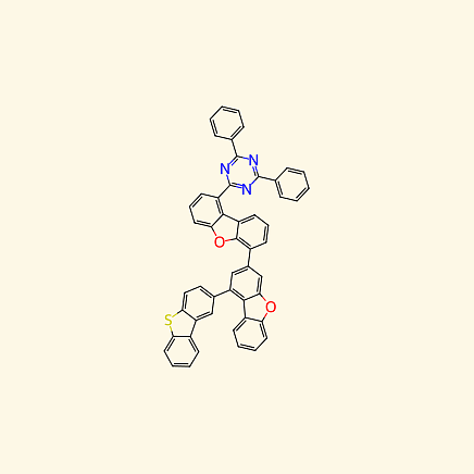 c1ccc(-c2nc(-c3ccccc3)nc(-c3cccc4oc5c(-c6cc(-c7ccc8sc9ccccc9c8c7)c7c(c6)oc6ccccc67)cccc5c34)n2)cc1